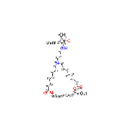 C=C1C(=O)C(NCCCN(CCCCCCCC(=O)OCCCCCCCCC)CCCCCCCC(=O)OC(CCCCCCCC)CCCCCCCC)=C1NC